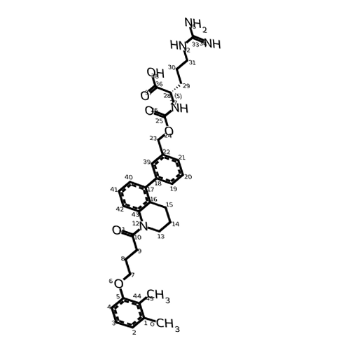 Cc1cccc(OCCCC(=O)N2CCCc3c(-c4cccc(COC(=O)N[C@@H](CCCNC(=N)N)C(=O)O)c4)cccc32)c1C